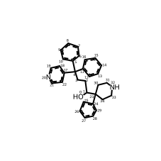 OC(CCC(c1ccccc1)(c1ccccc1)c1ccncc1)C1(c2ccccc2)CCNCC1